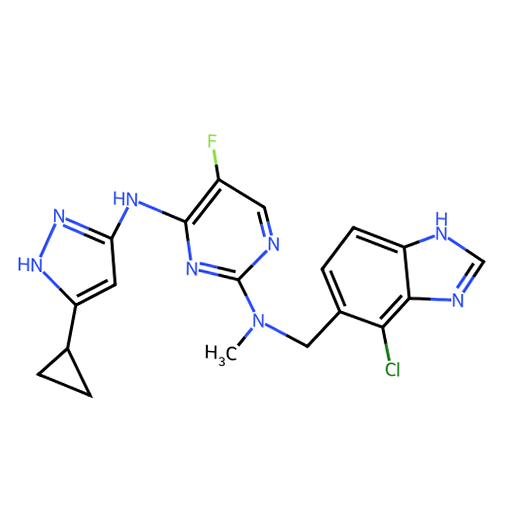 CN(Cc1ccc2[nH]cnc2c1Cl)c1ncc(F)c(Nc2cc(C3CC3)[nH]n2)n1